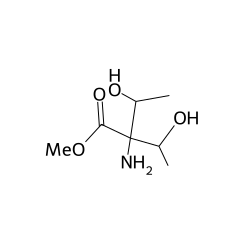 COC(=O)C(N)(C(C)O)C(C)O